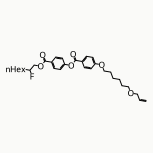 C=CCOCCCCCCOc1ccc(C(=O)Oc2ccc(C(=O)OCC(F)CCCCCC)cc2)cc1